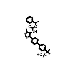 Cc1nsc(-c2ccc(-c3ccc(C(C)(C)C(=O)O)cc3)cc2)c1NC(=O)O[C@H](C)c1ccccc1